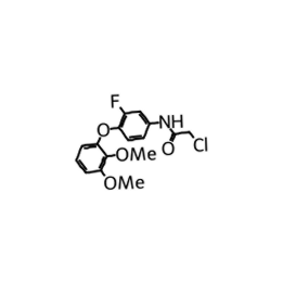 COc1cccc(Oc2ccc(NC(=O)CCl)cc2F)c1OC